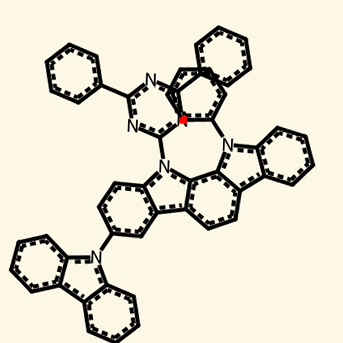 c1ccc(-c2nc(-c3ccccc3)nc(-n3c4ccc(-n5c6ccccc6c6ccccc65)cc4c4ccc5c6ccccc6n(-c6ccccc6)c5c43)n2)cc1